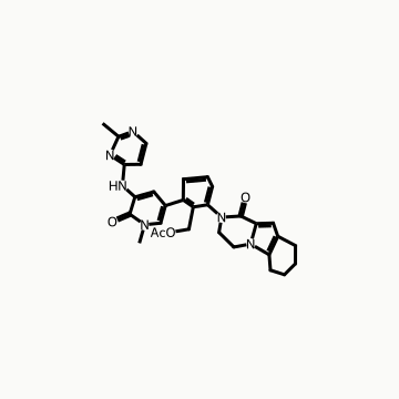 CC(=O)OCc1c(-c2cc(Nc3ccnc(C)n3)c(=O)n(C)c2)cccc1N1CCn2c(cc3c2CCCC3)C1=O